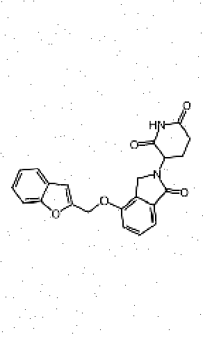 O=C1CCC(N2Cc3c(OCc4cc5ccccc5o4)cccc3C2=O)C(=O)N1